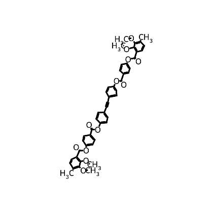 COc1c(C)ccc(C(=O)Oc2ccc(C(=O)Oc3ccc(C#Cc4ccc(OC(=O)c5ccc(OC(=O)c6ccc(C)c(OC)c6OC)cc5)cc4)cc3)cc2)c1OC